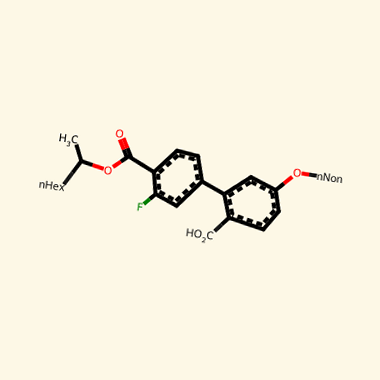 CCCCCCCCCOc1ccc(C(=O)O)c(-c2ccc(C(=O)OC(C)CCCCCC)c(F)c2)c1